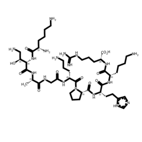 C[C@H](NC(=O)[C@@H](NC(=O)[C@@H](N)CCCCN)[C@@H](O)CN)C(=O)NCC(=O)N[C@H](CCCN)C(=O)N1CCC[C@H]1C(=O)N[C@@H](CCc1cnc[nH]1)C(=O)N[C@@H](CCCCN)C(=O)N[C@H](CCCNC(=N)N)C(=O)O